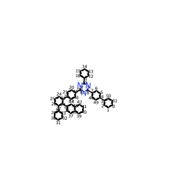 c1ccc(-c2ccc(-c3nc(-c4ccccc4)nc(-c4ccc(-c5cccc(-c6ccccc6)c5-c5ccc6ccccc6c5)cc4)n3)cc2)cc1